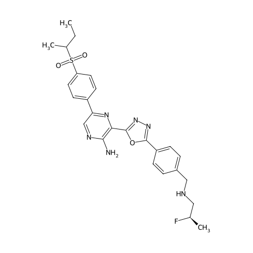 CCC(C)S(=O)(=O)c1ccc(-c2cnc(N)c(-c3nnc(-c4ccc(CNC[C@@H](C)F)cc4)o3)n2)cc1